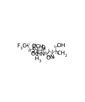 C=C(CO)c1cc(NC(=O)C(C)(C)S(=O)(=O)CCC(F)(F)F)on1